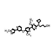 COc1nc(N(CCCO)C2CCC2)ncc1-c1ccc(Oc2ccnc(-c3cnn(C)c3)c2)c(C)n1